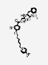 CN(C)c1cc[n+](CCCCCCOc2ccc(C(=O)NCC(=O)N[C@@H](Cc3ccccc3)C(N)=O)cc2)cc1.[Br-]